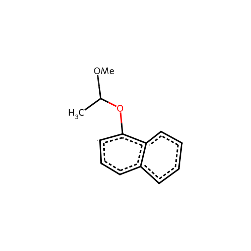 COC(C)Oc1[c]ccc2ccccc12